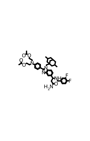 CC(=O)OCCN(CCOC(C)=O)c1ccc(-c2nc3cc(C(CC(N)=O)NCc4ccc(F)c(F)c4)ccc3n2CC23CC(C)CC(CC(C)C2)C3)cc1